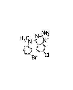 CN(c1cccc(Br)c1)c1nc2nncn2c2cc(Cl)ccc12